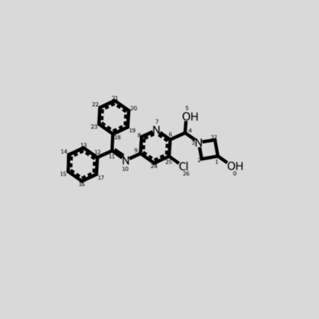 OC1CN(C(O)c2ncc(N=C(c3ccccc3)c3ccccc3)cc2Cl)C1